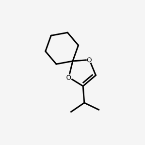 CC(C)C1=COC2(CCCCC2)O1